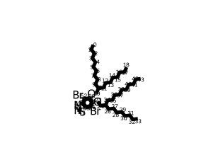 CCCCCCCCCCC(CCCCCCCC)COc1c(OCC(CCCCCCCC)CCCCCCCCCC)c(Br)c2snnc2c1Br